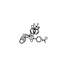 CC(=O)N1CCC(C(=O)N(CCCN2C3CCC2CC(NC(=O)c2ccc(C(F)(F)F)cc2)C3)c2ccc(C)c(Cl)c2)CC1